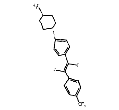 C[C@H]1CC[C@H](c2ccc(C(F)=C(F)c3ccc(C(F)(F)F)cc3)cc2)CC1